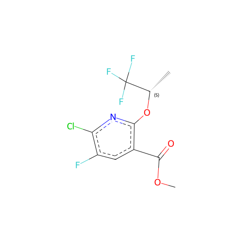 COC(=O)c1cc(F)c(Cl)nc1O[C@@H](C)C(F)(F)F